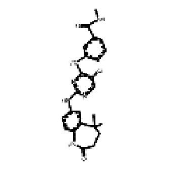 CNC(=O)c1cccc(Nc2nc(Nc3ccc4c(c3)C(C)(C)CCC(=O)N4)ncc2Cl)c1